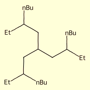 CCCCC(CC)CC(CC(CC)CCCC)CC(CC)CCCC